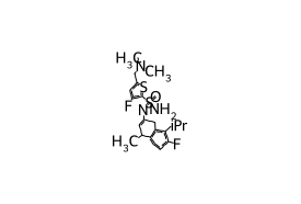 CC(C)c1c(F)ccc2c1CC(N=S(N)(=O)c1sc(CN(C)C)cc1F)=CC2C